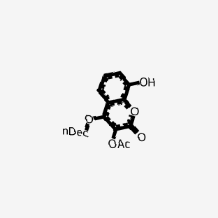 CCCCCCCCCCOc1c(OC(C)=O)c(=O)oc2c(O)cccc12